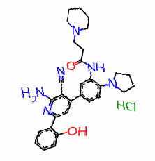 Cl.N#Cc1c(-c2ccc(N3CCCC3)c(NC(=O)CCN3CCCCC3)c2)cc(-c2ccccc2O)nc1N